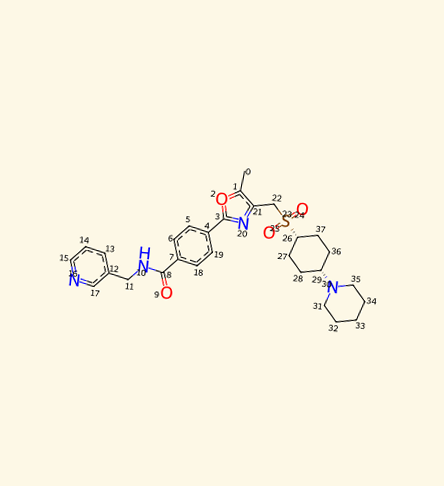 Cc1oc(-c2ccc(C(=O)NCc3cccnc3)cc2)nc1CS(=O)(=O)[C@H]1CC[C@@H](N2CCCCC2)CC1